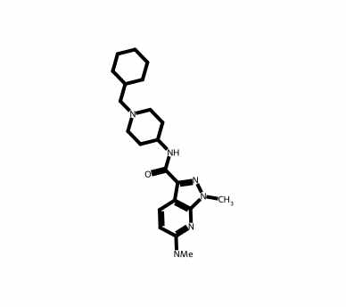 CNc1ccc2c(C(=O)NC3CCN(CC4CCCCC4)CC3)nn(C)c2n1